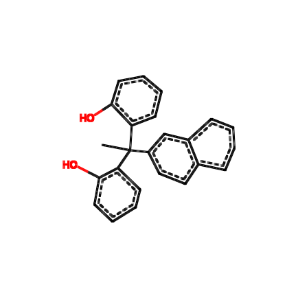 CC(c1ccc2ccccc2c1)(c1ccccc1O)c1ccccc1O